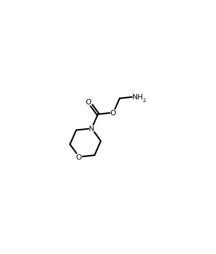 NCOC(=O)N1CCOCC1